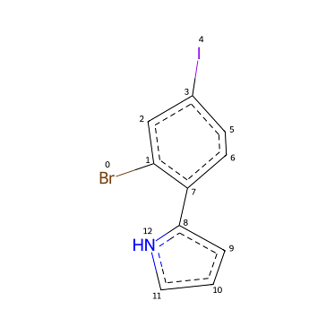 Brc1cc(I)ccc1-c1ccc[nH]1